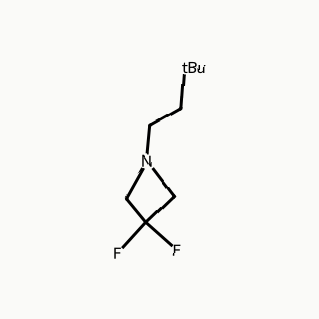 CC(C)(C)CCN1CC(F)(F)C1